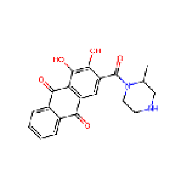 CC1CNCCN1C(=O)c1cc2c(c(O)c1O)C(=O)c1ccccc1C2=O